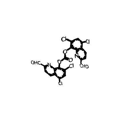 O=Cc1ccc2c(Cl)cc(Cl)c(OC(=O)Oc3c(Cl)cc(Cl)c4ccc(C=O)nc34)c2n1